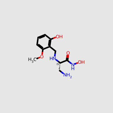 COc1cccc(O)c1CN[C@@H](CN)C(=O)NO